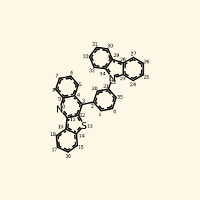 c1cc(-c2c3ccccc3nc3c2sc2ccccc23)cc(-n2c3ccccc3c3ccccc32)c1